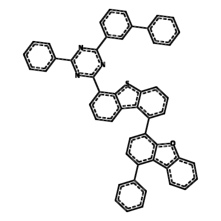 c1ccc(-c2cccc(-c3nc(-c4ccccc4)nc(-c4cccc5c4sc4cccc(-c6ccc(-c7ccccc7)c7c6oc6ccccc67)c45)n3)c2)cc1